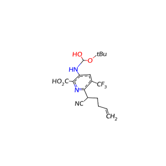 C=CCCC(C#N)c1nc(C(=O)O)c(NC(O)OC(C)(C)C)cc1C(F)(F)F